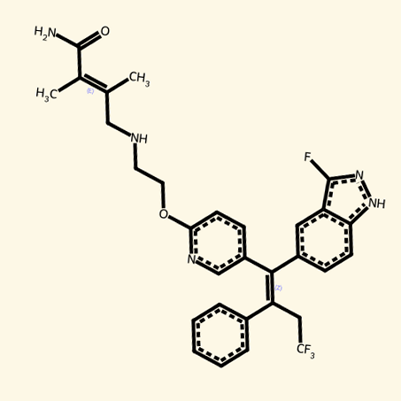 C/C(CNCCOc1ccc(/C(=C(/CC(F)(F)F)c2ccccc2)c2ccc3[nH]nc(F)c3c2)cn1)=C(/C)C(N)=O